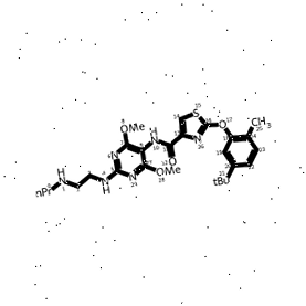 CCCNCCNc1nc(OC)c(NC(=O)c2csc(Oc3cc(C(C)(C)C)ccc3C)n2)c(OC)n1